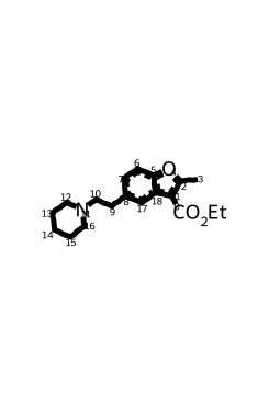 CCOC(=O)c1c(C)oc2ccc(CCN3CCCCC3)cc12